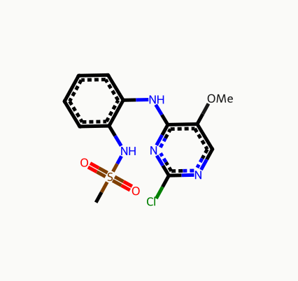 COc1cnc(Cl)nc1Nc1ccccc1NS(C)(=O)=O